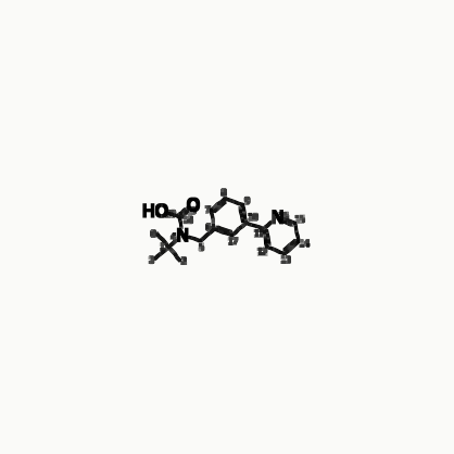 CC(C)(C)N(Cc1cccc(-c2ccccn2)c1)C(=O)O